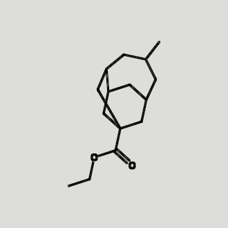 CCOC(=O)C12CC3CC(C)CC(C1)C(C3)C2